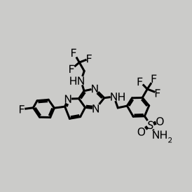 NS(=O)(=O)c1cc(CNc2nc(NCC(F)(F)F)c3nc(-c4ccc(F)cc4)ccc3n2)cc(C(F)(F)F)c1